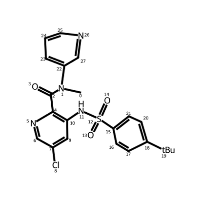 CN(C(=O)c1ncc(Cl)cc1NS(=O)(=O)c1ccc(C(C)(C)C)cc1)c1cccnc1